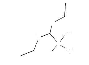 CCOC(OCC)[PH](O)(O)O